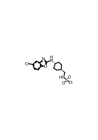 CCS(=O)(=O)NC[C@H]1CC[C@H](Nc2nc3cc(Cl)ccc3o2)CC1